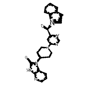 O=C(c1cc(N2CCC(n3c(=O)[nH]c4ncccc43)CC2)ncn1)n1ccc2ccccc21